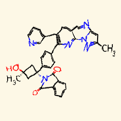 Cc1cc2ncc3cc(-c4cccnc4)c(-c4ccc([C@]5(N6C(=O)c7ccccc7C6=O)C[C@](C)(O)C5)cc4)nc3n2n1